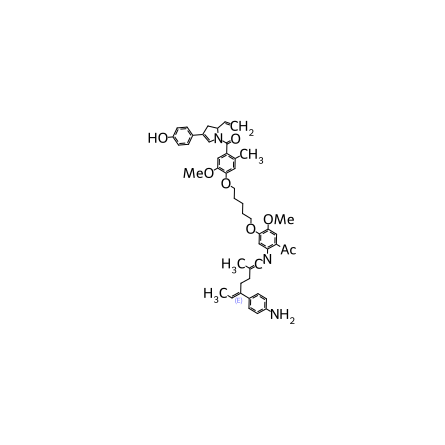 C=CC1CC(c2ccc(O)cc2)=CN1C(=O)c1cc(OC)c(OCCCCCOc2cc(N=C=C(C)CC/C(=C\C)c3ccc(N)cc3)c(C(C)=O)cc2OC)cc1C